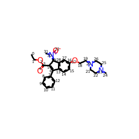 CCOC(=O)C1=C(c2ccccc2)c2ccc(OCCN3CCN(C)CC3)cc2/C1=[N+](/C)[O-]